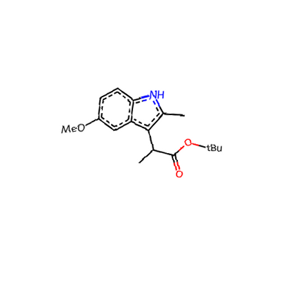 COc1ccc2[nH]c(C)c(C(C)C(=O)OC(C)(C)C)c2c1